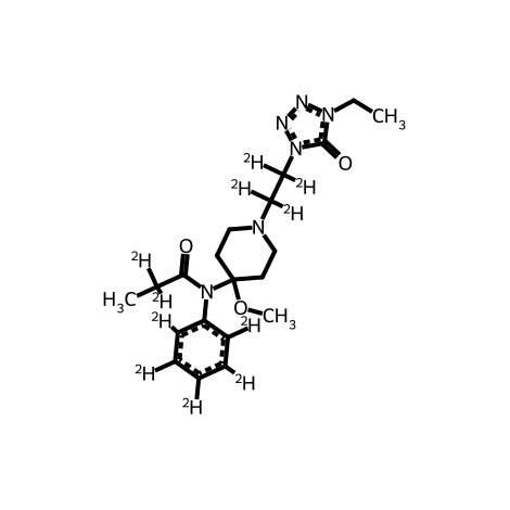 [2H]c1c([2H])c([2H])c(N(C(=O)C([2H])([2H])C)C2(OC)CCN(C([2H])([2H])C([2H])([2H])n3nnn(CC)c3=O)CC2)c([2H])c1[2H]